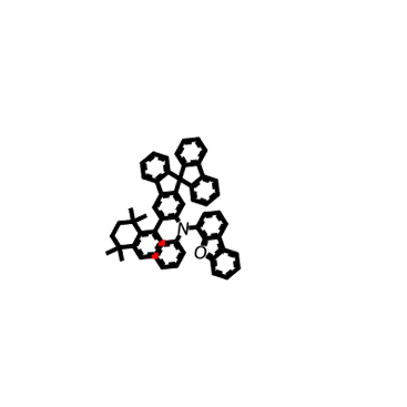 Cc1ccc2c(c1-c1cc3c(cc1N(c1ccccc1)c1cccc4c1oc1ccccc14)C1(c4ccccc4-c4ccccc41)c1ccccc1-3)C(C)(C)CCC2(C)C